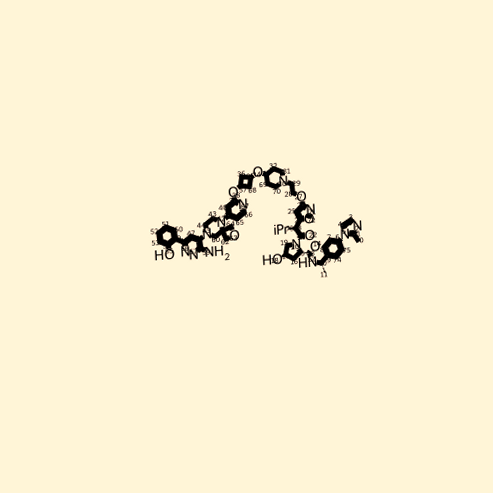 Cc1nccn1-c1ccc([C@H](C)NC(=O)[C@@H]2C[C@@H](O)CN2C(=O)[C@H](c2cc(OCCN3CCC(OC4CC(Oc5cc(N6CCN(c7cc(-c8ccccc8O)nnc7N)CC67COC7)ccn5)C4)CC3)no2)C(C)C)cc1